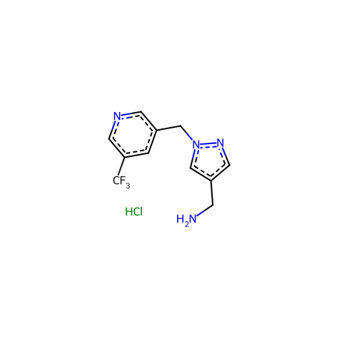 Cl.NCc1cnn(Cc2cncc(C(F)(F)F)c2)c1